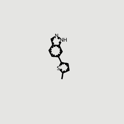 Cc1ccc(-c2ccc3cn[nH]c3c2)s1